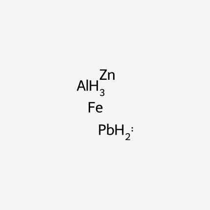 [AlH3].[Fe].[PbH2].[Zn]